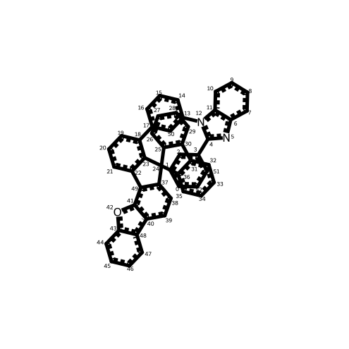 c1ccc(-c2nc3ccccc3n2-c2cccc(-c3cccc4c3C3(c5ccccc5-c5ccccc53)c3ccc5c(oc6ccccc65)c3-4)c2)cc1